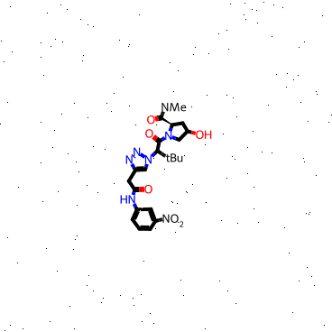 CNC(=O)[C@H]1CC(O)CN1C(=O)C(n1cc(CC(=O)Nc2cccc([N+](=O)[O-])c2)nn1)C(C)(C)C